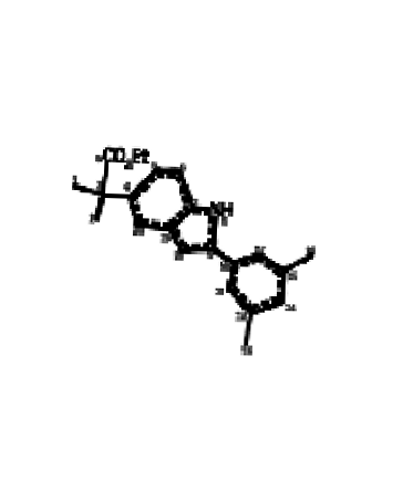 CCOC(=O)C(C)(C)c1ccc2[nH]c(-c3cc(C)cc(C)c3)cc2c1